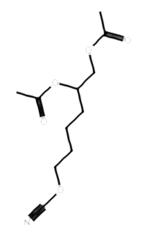 CC(=O)OCC(CCCCOC#N)OC(C)=O